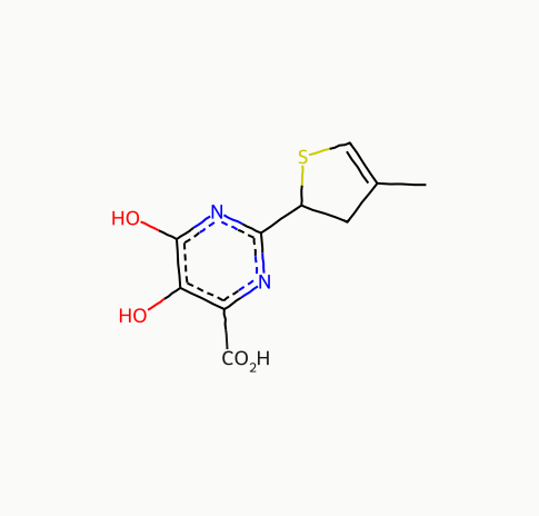 CC1=CSC(c2nc(O)c(O)c(C(=O)O)n2)C1